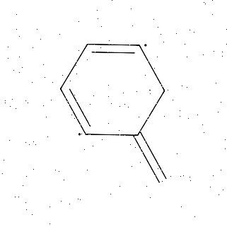 C=C1[C]=CC=[C]C1